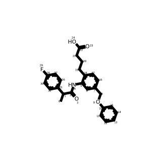 CC(C(=O)Nc1cc(COc2ccccc2)ccc1CCCC(=O)O)c1ccc(F)cc1